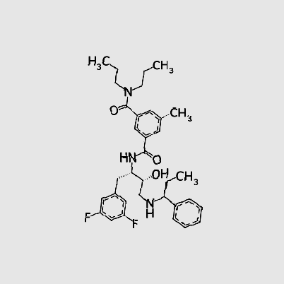 CCCN(CCC)C(=O)c1cc(C)cc(C(=O)N[C@@H](Cc2cc(F)cc(F)c2)[C@H](O)CN[C@@H](CC)c2ccccc2)c1